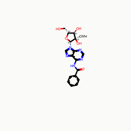 CO[C@@]1(O)[C@H](O)[C@@H](CO)O[C@H]1n1cnc2c(NC(=O)c3ccccc3)ncnc21